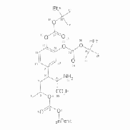 CCCCCOC(=O)OC(C)CC(c1ccc(OC(=O)OC(C)(C)CC)c(OC(=O)OC(C)(C)CC)c1)[C@H](N)C(=O)O